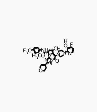 Cc1cc(C(F)(F)F)ccc1NC(=O)[C@H]1C[C@@H](C)c2c(N3CCN(c4nccc(F)c4O)CC3)c(=O)n3nc(C4=CCOCC4)nc3n21